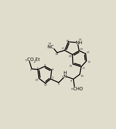 CCOC(=O)Cc1ccc(CNC(C=O)Cc2ccc3[nH]cc(CC#N)c3c2)cc1